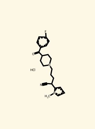 Cl.Cn1cccc1C(C#N)CCCN1CCC(C(=O)c2ccc(F)cc2)CC1